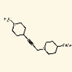 COC1CCN(CC#CC2CCN(C)CC2)CC1